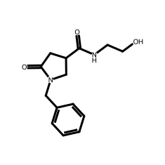 O=C(NCCO)C1CC(=O)N(Cc2ccccc2)C1